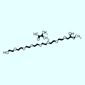 C=C(C)C(=O)O.COC(O)COCCOCCOCCOCCOCCOCCOCCO